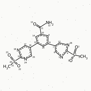 CS(=O)(=O)c1ncc(-c2cc(C(N)=O)cc(-c3cnc(S(C)(=O)=O)nc3)c2)cn1